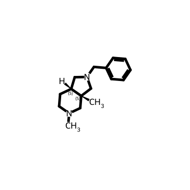 CN1CC[C@@H]2CN(Cc3ccccc3)C[C@]2(C)C1